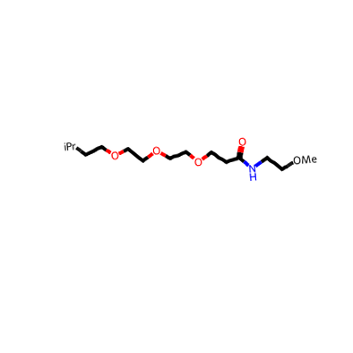 COCCNC(=O)CCOCCOCCOCCC(C)C